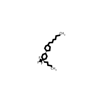 CCCCCCCC1CCC([C@H]2CC[C@@](CCCCC)(C(F)(F)F)CC2)CC1